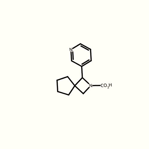 O=C(O)N1CC2(CCCC2)C1c1cccnc1